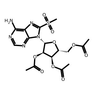 CC(=O)OC[C@H]1O[C@@H](n2c(S(C)(=O)=O)nc3c(N)ncnc32)[C@H](OC(C)=O)[C@@H]1OC(C)=O